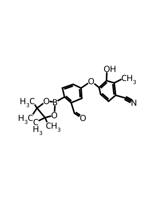 Cc1c(C#N)ccc(Oc2ccc(B3OC(C)(C)C(C)(C)O3)c(C=O)c2)c1O